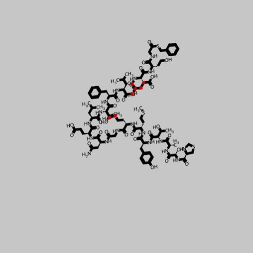 CSCC[C@H](NC(=O)[C@H](CCSC)NC(=O)[C@H](Cc1ccc(O)cc1)NC(=O)[C@@H](NC(=O)[C@H](C)NC(=O)[C@H](C)NC(=O)[C@@H]1CSCN1)C(C)O)C(=O)NCC(=O)N[C@@H](CC(N)=O)C(=O)N[C@@H](CCC(=O)O)C(=O)N[C@@H](CC(C)C)C(=O)N[C@H](C(=O)N[C@@H](Cc1ccccc1)C(=O)N[C@@H](CC(C)C)C(=O)N[C@@H](CCC(=O)O)C(=O)N[C@@H](CCC(=O)O)C(=O)N[C@@H](CCO)C(=O)NCC(=O)SCc1ccccc1)C(C)O